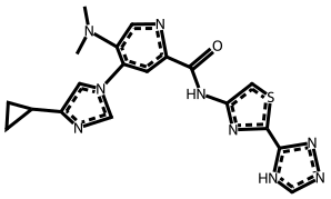 CN(C)c1cnc(C(=O)Nc2csc(-c3nnc[nH]3)n2)cc1-n1cnc(C2CC2)c1